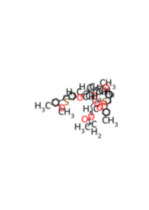 C=C(C)C(=O)OCCCC(O)COC(C(C)(C)CC(C)(C)Oc1ccc2cc(-c3ccc(C)cc3OC)sc2c1)C(C)(C)CC(C)(C)Oc1ccc2cc(-c3ccc(C)cc3OC)sc2c1